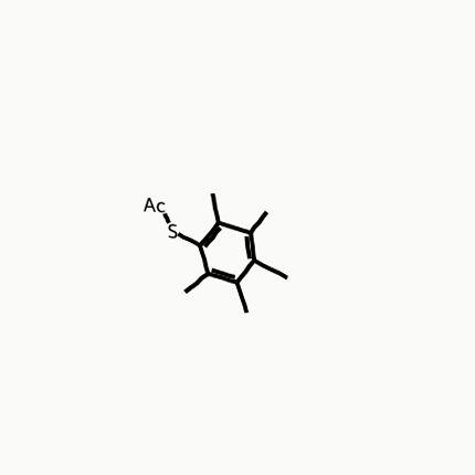 CC(=O)Sc1c(C)c(C)c(C)c(C)c1C